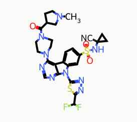 CN1CCC(C(=O)N2CCN(c3ncnc4c3c3ccc(S(=O)(=O)NC5(C#N)CC5)cc3n4-c3nnc(C(F)F)s3)CC2)C1